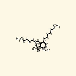 CCCCCCCc1cccc(S(=O)(=O)[O-])c1CCCCCCC.[Na+]